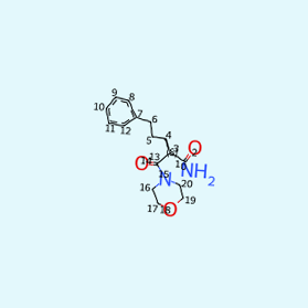 NC(=O)[C@H](CCCc1ccccc1)C(=O)N1CCOCC1